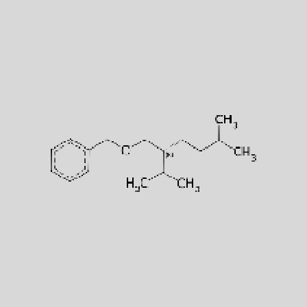 CC(C)CC[C@@H](COCc1ccccc1)C(C)C